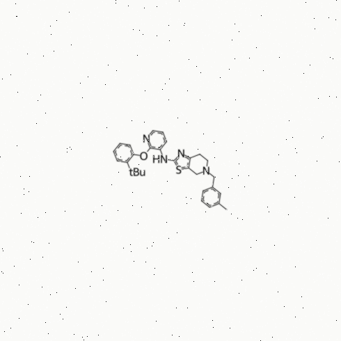 Cc1cccc(CN2CCc3nc(Nc4cccnc4Oc4ccccc4C(C)(C)C)sc3C2)c1